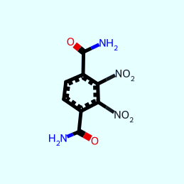 NC(=O)c1ccc(C(N)=O)c([N+](=O)[O-])c1[N+](=O)[O-]